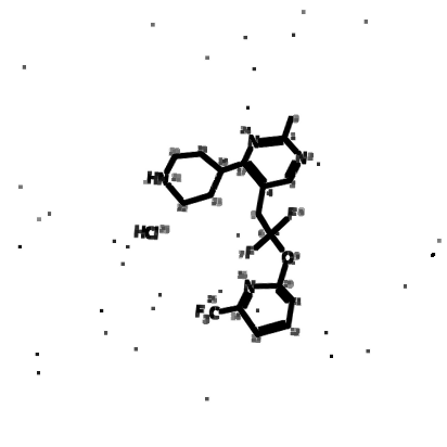 Cc1ncc(CC(F)(F)Oc2cccc(C(F)(F)F)n2)c(C2CCNCC2)n1.Cl